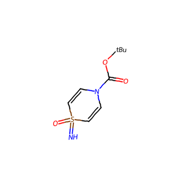 CC(C)(C)OC(=O)N1C=CS(=N)(=O)C=C1